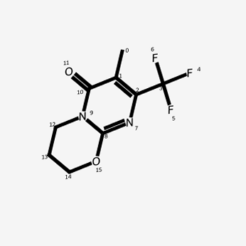 Cc1c(C(F)(F)F)nc2n(c1=O)CCCO2